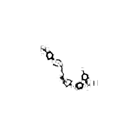 C[SH](=O)(c1ccc(F)cc1)c1ccc(NC2CCN(C(=O)CCCN3CCN(c4ccc(C(F)(F)F)cc4)CC3)CC2)cc1